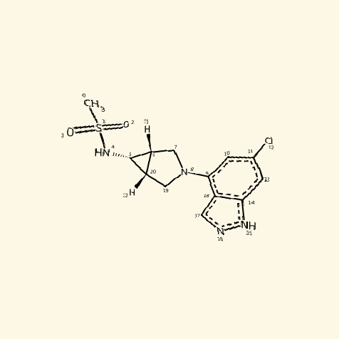 CS(=O)(=O)N[C@@H]1[C@@H]2CN(c3cc(Cl)cc4[nH]ncc34)C[C@@H]21